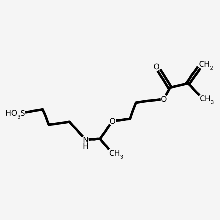 C=C(C)C(=O)OCCOC(C)NCCCS(=O)(=O)O